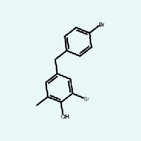 Cc1cc(Cc2ccc(Br)cc2)cc(Br)c1O